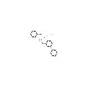 O=C(c1ccccc1Cl)N1N=Cc2cc(-c3ccc(Cl)cc3)ccc2B1O